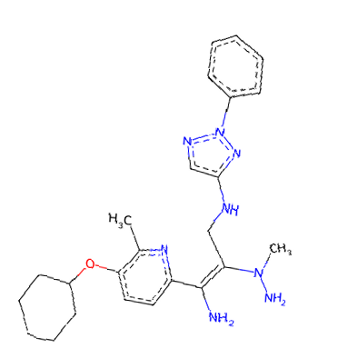 Cc1nc(/C(N)=C(\CNc2cnn(-c3ccccc3)n2)N(C)N)ccc1OC1CCCCC1